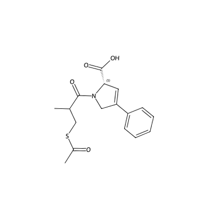 CC(=O)SCC(C)C(=O)N1CC(c2ccccc2)=C[C@H]1C(=O)O